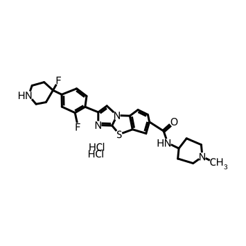 CN1CCC(NC(=O)c2ccc3c(c2)sc2nc(-c4ccc(C5(F)CCNCC5)cc4F)cn23)CC1.Cl.Cl